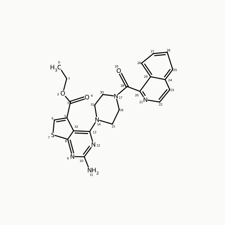 CCOC(=O)c1csc2nc(N)nc(N3CCN(C(=O)c4nccc5ccccc45)CC3)c12